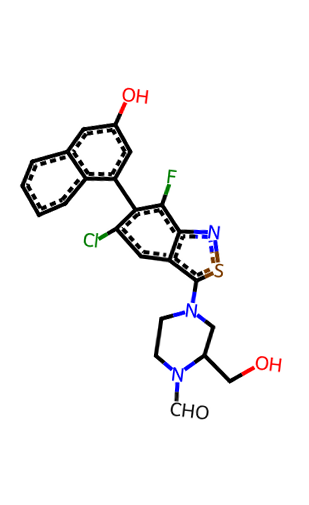 O=CN1CCN(c2snc3c(F)c(-c4cc(O)cc5ccccc45)c(Cl)cc23)CC1CO